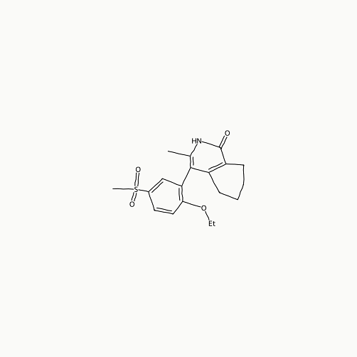 CCOc1ccc(S(C)(=O)=O)cc1-c1c(C)[nH]c(=O)c2c1CCCC2